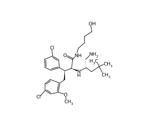 COc1cc(Cl)ccc1C[C@@H](c1cccc(Cl)c1)[C@H](N[C@H](CN)CC(C)(C)C)C(=O)NCCCCO